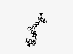 O=C(N1CC2(CC(Cn3cnc(C4(C(F)(F)F)CC4)n3)C2)C1)N1CC2(CC(c3nc(C4CC4)n[nH]3)C2)C1